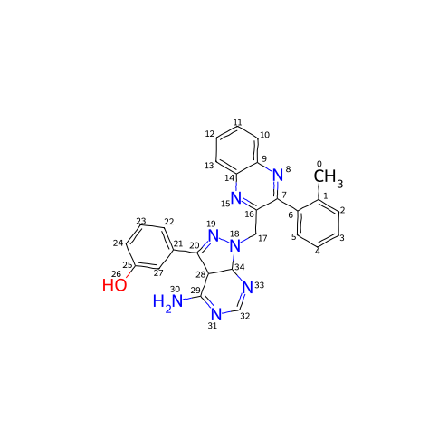 Cc1ccccc1-c1nc2ccccc2nc1CN1N=C(c2cccc(O)c2)C2C(N)=NC=NC21